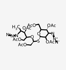 CC(=O)OCC(O[C@H](COC(C)=O)S[C@@H]1OC(COC(C)=O)[C@H](OC(C)=O)C(N=[N+]=[N-])C1OC(C)=O)[C@H](OC(C)=O)C(C)N=[N+]=[N-]